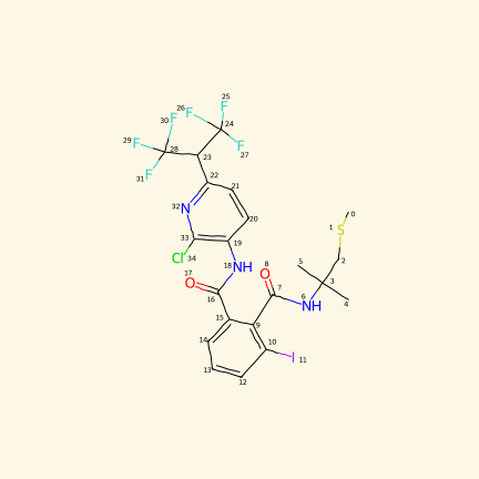 CSCC(C)(C)NC(=O)c1c(I)cccc1C(=O)Nc1ccc(C(C(F)(F)F)C(F)(F)F)nc1Cl